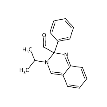 CC(C)N1C=c2ccccc2=NC1(C=O)c1ccccc1